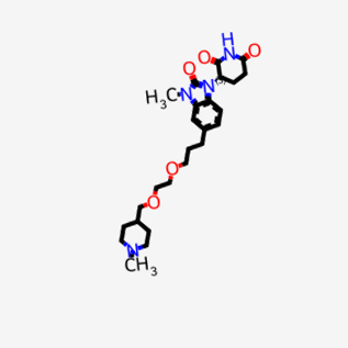 CN1CCC(COCCOCCCc2ccc3c(c2)n(C)c(=O)n3[C@H]2CCC(=O)NC2=O)CC1